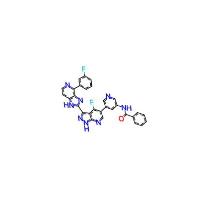 O=C(Nc1cncc(-c2cnc3[nH]nc(-c4nc5c(-c6cccc(F)c6)nccc5[nH]4)c3c2F)c1)c1ccccc1